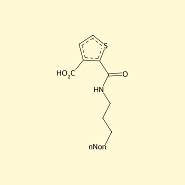 CCCCCCCCCCCCNC(=O)c1sccc1C(=O)O